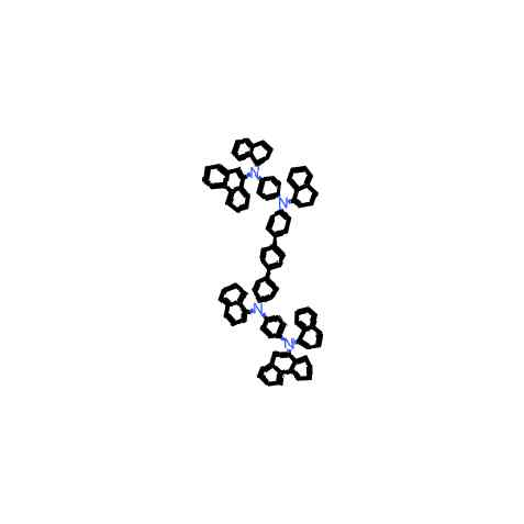 c1ccc2c(N(c3ccc(-c4ccc(-c5ccc(N(c6ccc(N(c7cccc8ccccc78)c7cc8ccccc8c8ccccc78)cc6)c6cccc7ccccc67)cc5)cc4)cc3)c3ccc(N(c4cccc5ccccc45)c4cc5ccccc5c5ccccc45)cc3)cccc2c1